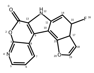 O=c1oc2ncccc2c2c3c([nH]c12)=CC(F)C1C=COC=31